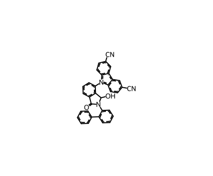 N#Cc1ccc2c(c1)c1cc(C#N)ccc1n2-c1cccc2c1C(O)N(c1ccccc1-c1ccccc1)C2=O